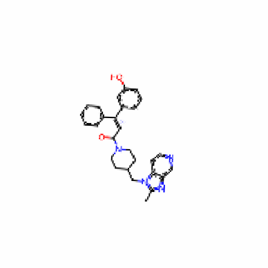 Cc1nc2cnccc2n1CC1CCN(C(=O)/C=C(/c2[c]ccc(O)c2)c2ccccc2)CC1